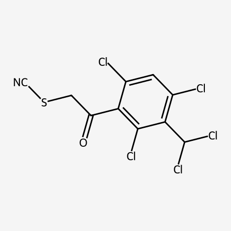 N#CSCC(=O)c1c(Cl)cc(Cl)c(C(Cl)Cl)c1Cl